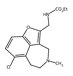 CCOC(=O)NCc1oc2ccc(Cl)c3c2c1CN(C)CC3